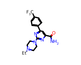 CCN1CCN(c2nc(C(N)=O)cc(-c3ccc(C(F)(F)F)cc3)n2)CC1